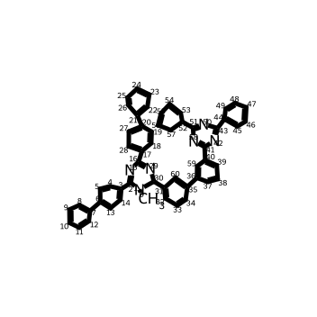 CN1C(c2ccc(-c3ccccc3)cc2)=NC(c2ccc(-c3ccccc3)cc2)=NC1c1cccc(-c2cccc(-c3nc(-c4ccccc4)nc(C4C=CC=CC4)n3)c2)c1